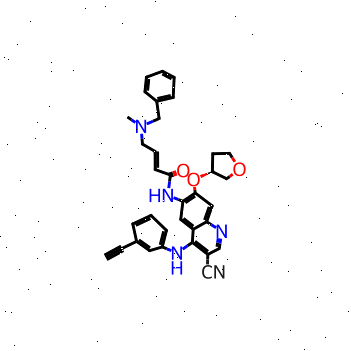 C#Cc1cccc(Nc2c(C#N)cnc3cc(O[C@H]4CCOC4)c(NC(=O)C=CCN(C)Cc4ccccc4)cc23)c1